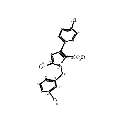 CCOC(=O)c1c(-c2ccc(Cl)cc2)cc(C(F)(F)F)n1Cc1cccc(Cl)c1